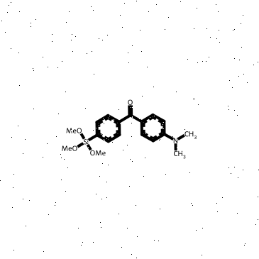 CO[Si](OC)(OC)c1ccc(C(=O)c2ccc(N(C)C)cc2)cc1